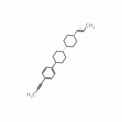 CC#Cc1ccc(C2CCC([C@H]3CC[C@H](/C=C/C)CC3)CC2)cc1